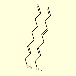 CCC=CCC=CCC=O.CCC=CCCCCC=O